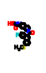 CSc1ccc(C=C(C(=O)N2CCc3ccc(C(=O)NO)cc3C2)c2ccc(F)cc2)cc1